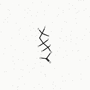 O=C(Cl)OC(F)(F)C(F)(F)CC(F)(F)F